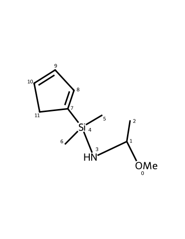 COC(C)N[Si](C)(C)C1=CC=CC1